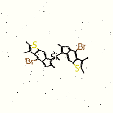 CC1=C([Si](C)(C)C2=C(C)C=C3C2=CC2SC(C)=C(C)C2=C3Br)C2=CC3SC(C)=C(C)C3=C(Br)C2=C1